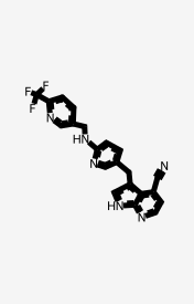 N#Cc1ccnc2[nH]cc(Cc3ccc(NCc4ccc(C(F)(F)F)nc4)nc3)c12